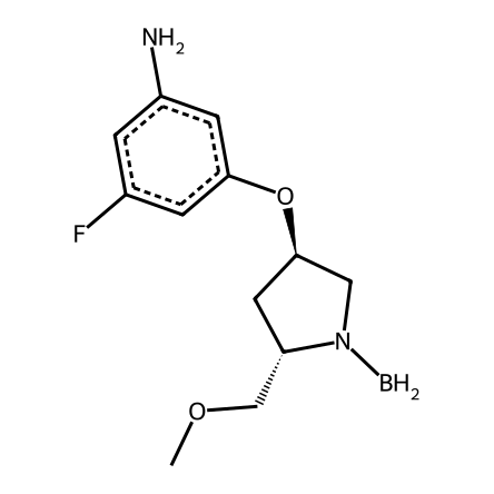 BN1C[C@H](Oc2cc(N)cc(F)c2)C[C@H]1COC